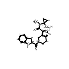 CN(C(=O)c1[nH]nc2c1CN(C(=O)C1Cc3ccccc3N1)CC2)C1(C(=O)O)CC1